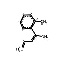 C=C/C=C(/N)c1ccccc1C